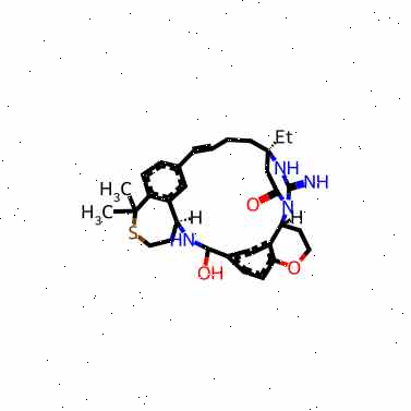 CC[C@]12CC/C=C/c3ccc4c(c3)[C@H](CCSC4(C)C)NC(O)c3ccc4c(c3)[C@@H](CCO4)N(C(=N)N1)C(=O)C2